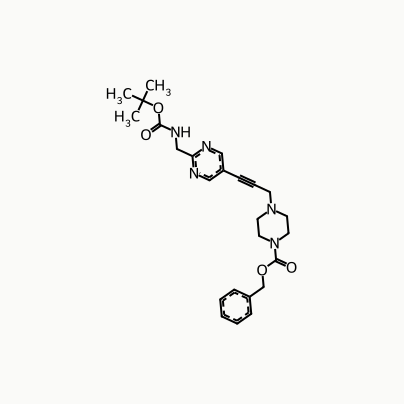 CC(C)(C)OC(=O)NCc1ncc(C#CCN2CCN(C(=O)OCc3ccccc3)CC2)cn1